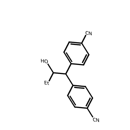 CCC(O)C(c1ccc(C#N)cc1)c1ccc(C#N)cc1